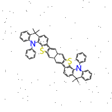 CC1(C)c2ccccc2N(c2ccccc2)c2c1ccc1c3c(sc21)=CC1C=c2c(sc4c5c(ccc24)C(C)(C)c2ccccc2N5c2ccccc2)=CC1C=3